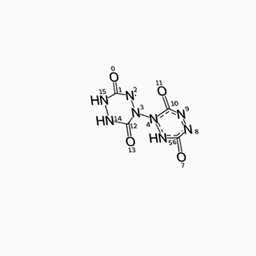 O=C1[N]N(n2[nH]c(=O)nnc2=O)C(=O)NN1